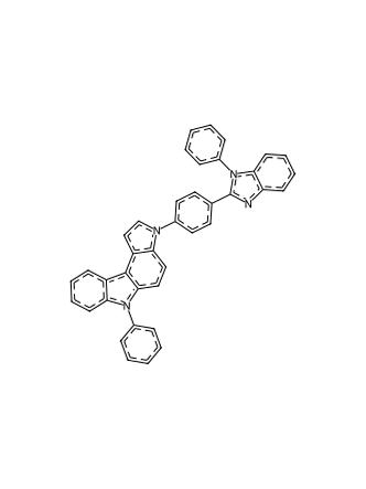 c1ccc(-n2c(-c3ccc(-n4ccc5c6c7ccccc7n(-c7ccccc7)c6ccc54)cc3)nc3ccccc32)cc1